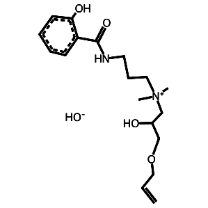 C=CCOCC(O)C[N+](C)(C)CCCNC(=O)c1ccccc1O.[OH-]